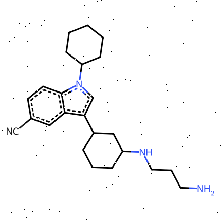 N#Cc1ccc2c(c1)c(C1CCCC(NCCCN)C1)cn2C1CCCCC1